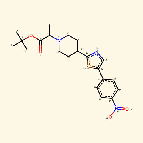 CC(C(=O)OC(C)(C)C)N1CCC(c2ncc(-c3ccc([N+](=O)[O-])cc3)s2)CC1